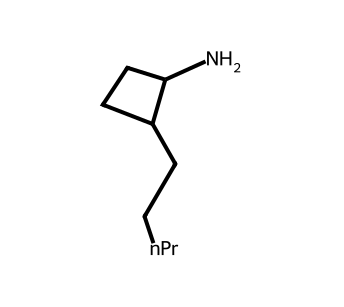 CCCCCC1CCC1N